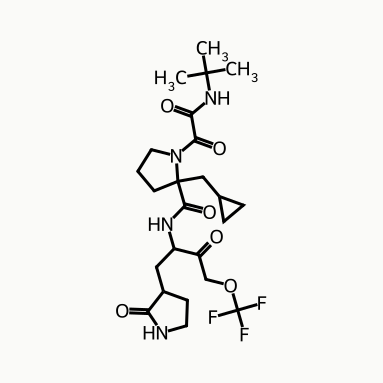 CC(C)(C)NC(=O)C(=O)N1CCCC1(CC1CC1)C(=O)NC(CC1CCNC1=O)C(=O)COC(F)(F)F